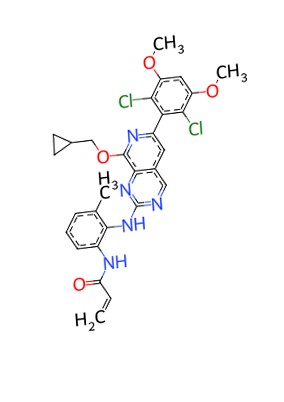 C=CC(=O)Nc1cccc(C)c1Nc1ncc2cc(-c3c(Cl)c(OC)cc(OC)c3Cl)nc(OCC3CC3)c2n1